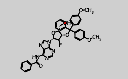 COc1ccc(C(O[C@@H]2C(F)[C@H](n3cnc4c(NC(=O)c5ccccc5)ncnc43)O[C@@H]2CO)(c2ccccc2)c2ccc(OC)cc2)cc1